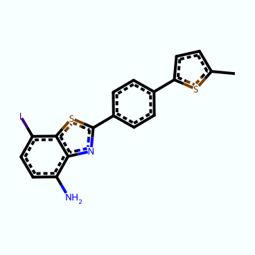 Cc1ccc(-c2ccc(-c3nc4c(N)ccc(I)c4s3)cc2)s1